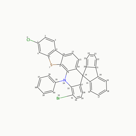 Clc1ccc2c(c1)sc1c3c(ccc12)C1(c2ccccc2-c2ccccc21)c1cccc(Br)c1N3c1ccccc1